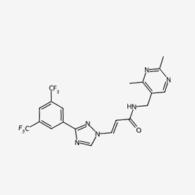 Cc1ncc(CNC(=O)C=Cn2cnc(-c3cc(C(F)(F)F)cc(C(F)(F)F)c3)n2)c(C)n1